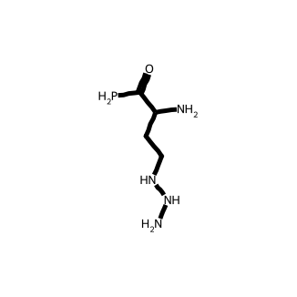 NNNCCC(N)C(=O)P